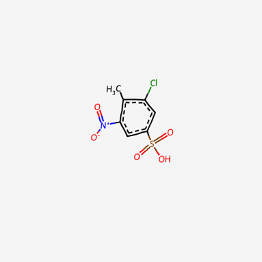 Cc1c(Cl)cc(S(=O)(=O)O)cc1[N+](=O)[O-]